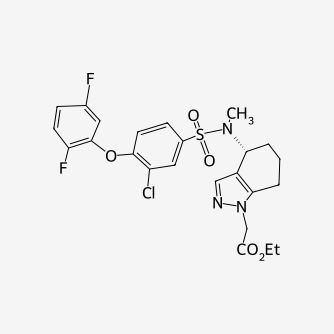 CCOC(=O)Cn1ncc2c1CCC[C@H]2N(C)S(=O)(=O)c1ccc(Oc2cc(F)ccc2F)c(Cl)c1